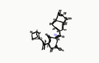 O=C1NC(NC2CC3CC2C3)=N/C1=C\c1ccc2ncsc2c1